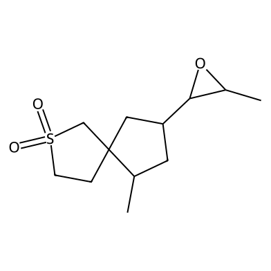 CC1OC1C1CC(C)C2(CCS(=O)(=O)C2)C1